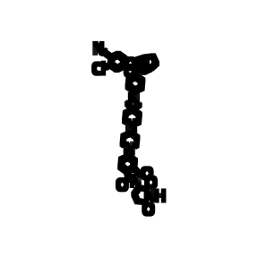 N#Cc1ccc(OC2CC3CCC(C2)N3C(=O)c2ccc(N3CC4(CCN(C5CCN(c6ccc7c(c6)C(=O)N(C6CCC(=O)NC6=O)C7=O)CC5)CC4)C3)cc2)cc1Cl